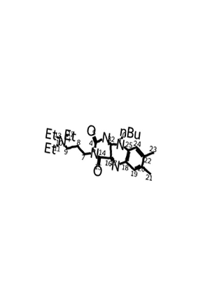 CCCCn1c2nc(=O)n(CCC[N+](CC)(CC)CC)c(=O)c-2nc2cc(C)c(C)cc21